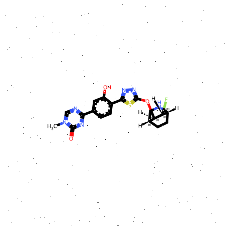 Cn1cnc(-c2ccc(-c3nnc(O[C@@H]4[C@@H]5CC[C@@H](NC5)[C@H]4F)s3)c(O)c2)nc1=O